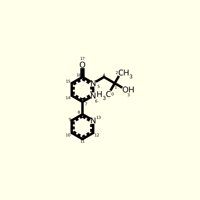 CC(C)(O)Cn1nc(-c2ccccn2)ccc1=O